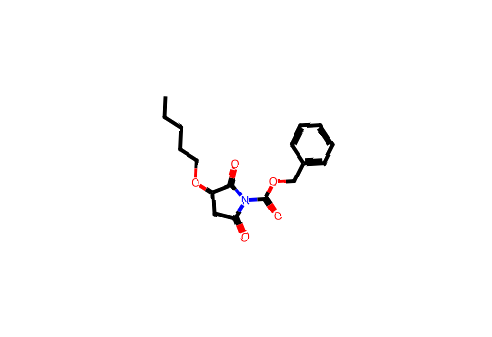 CCCCCOC1CC(=O)N(C(=O)OCc2ccccc2)C1=O